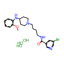 COc1ccccc1NC1CCN(CCCCNC(=O)c2cncc(Br)c2)CC1.Cl.Cl.Cl